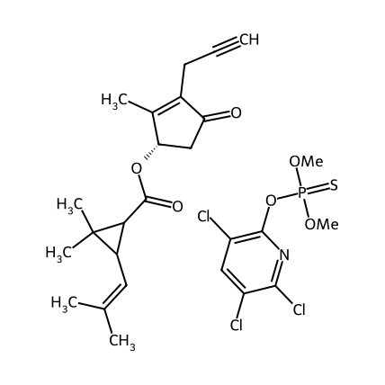 C#CCC1=C(C)[C@@H](OC(=O)C2C(C=C(C)C)C2(C)C)CC1=O.COP(=S)(OC)Oc1nc(Cl)c(Cl)cc1Cl